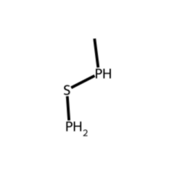 CPSP